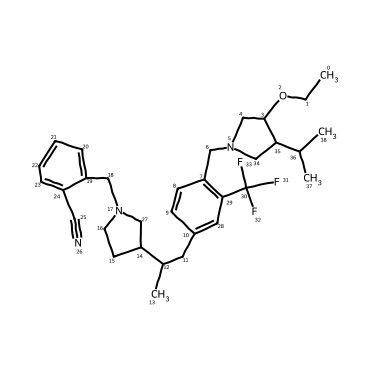 CCOC1CN(Cc2ccc(CC(C)C3CCN(Cc4ccccc4C#N)C3)cc2C(F)(F)F)CC1C(C)C